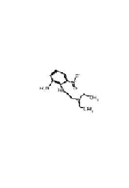 CCN(CC)CCNc1c(N)cccc1[N+](=O)[O-]